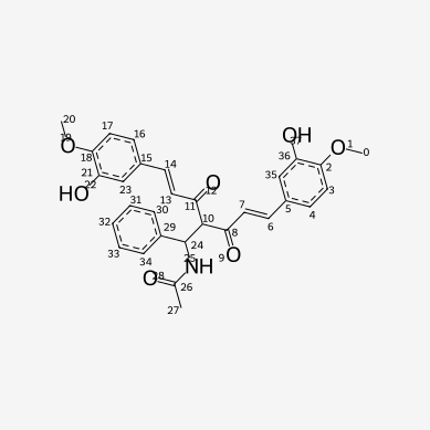 COc1ccc(/C=C/C(=O)C(C(=O)/C=C/c2ccc(OC)c(O)c2)C(NC(C)=O)c2ccccc2)cc1O